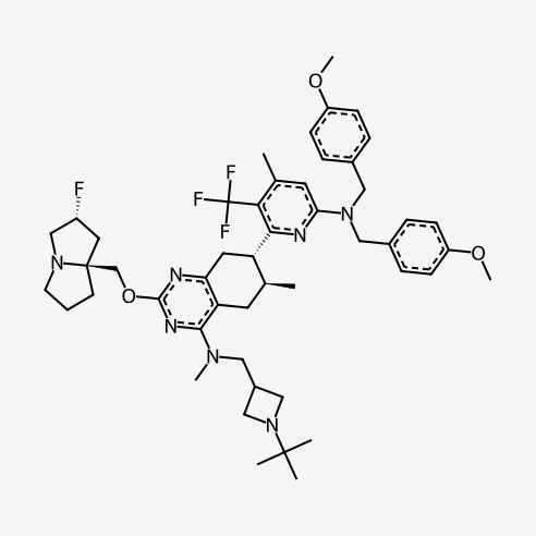 COc1ccc(CN(Cc2ccc(OC)cc2)c2cc(C)c(C(F)(F)F)c([C@H]3Cc4nc(OC[C@@]56CCCN5C[C@H](F)C6)nc(N(C)CC5CN(C(C)(C)C)C5)c4C[C@@H]3C)n2)cc1